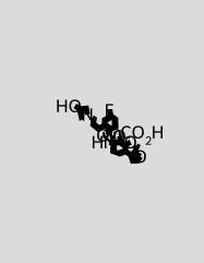 O=C(O)Oc1c(NS(=O)(=O)c2ccc(F)cc2/C=C\CN2CC(O)C2)ccc2c1OCc1occc1-2